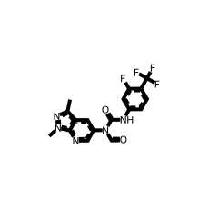 Cc1nn(C)c2ncc(N(C=O)C(=O)Nc3ccc(C(F)(F)F)c(F)c3)cc12